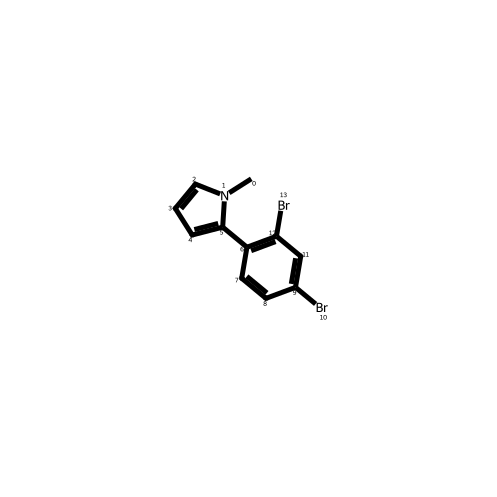 Cn1[c]ccc1-c1ccc(Br)cc1Br